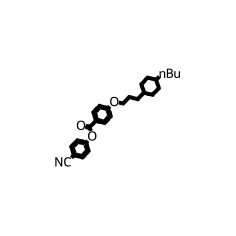 CCCCC1CCC(CCCOc2ccc(C(=O)Oc3ccc(C#N)cc3)cc2)CC1